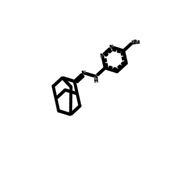 CC(C)(C)c1ccc(NN=C2C3CC4CC(C3)CC2C4)nn1